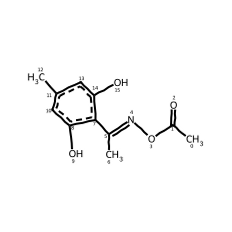 CC(=O)ON=C(C)c1c(O)cc(C)cc1O